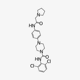 O=C(CN1CCCC1)Nc1ccc(N2CCN(C(=O)Nc3c(Cl)cccc3Cl)CC2)cc1